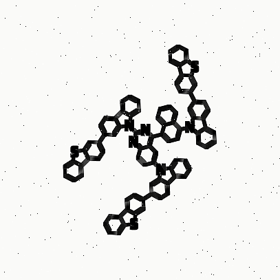 c1ccc2c(c1)sc1cc(-c3ccc4c5ccccc5n(-c5ccc6nc(-n7c8ccccc8c8ccc(-c9ccc%10c(c9)sc9ccccc9%10)cc87)nc(-c7ccc(-n8c9ccccc9c9ccc(-c%10ccc%11c(c%10)sc%10ccccc%10%11)cc98)c8ccccc78)c6c5)c4c3)ccc12